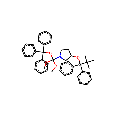 COC(OC)(OC(c1ccccc1)(c1ccccc1)c1ccccc1)N1CCC(O[Si](c2ccccc2)(c2ccccc2)C(C)(C)C)C1